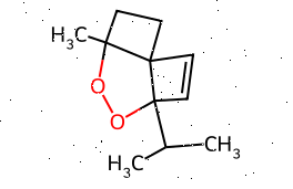 CC(C)C12C=CC13CCC3(C)OO2